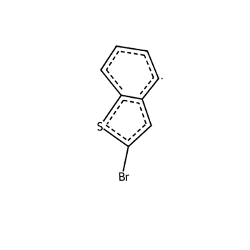 Brc1cc2[c]cccc2s1